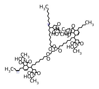 CC/C=C\CC1C=CC(C(CCCCCCCC(=O)OCC(COC(=O)CCCCCCCC(C2CC(=O)N(CC(C)O)C2=O)C2C=CC(CCCCC)C3C(=O)N(CC(C)O)C(=O)C23)OC(=O)CCCCCCCC(/C=C/CCCCCCC)C2CC(=O)N(CC(C)O)C2=O)C2CC(=O)N(CC(C)O)C2=O)C2C(=O)N(CC(C)O)C(=O)C12